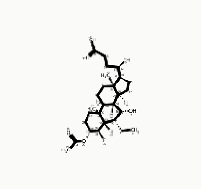 CC[C@H]1[C@@H](O)[C@@H]2[C@H](CC[C@]3(C)[C@@H]([C@H](C)CCC(=O)O)CC[C@@H]23)[C@@]2(C)CC[C@@H](OC(C)=O)[C@H](F)[C@@H]12